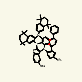 Cc1cc2c3c(c1)N(c1ccc(C(C)(C)C)cc1-c1ccc(-c4ccccc4)cc1)c1c(sc4ccc(C(C)(C)C)cc14)B3c1cc3c(cc1N2c1ccc2c(c1)C(C)(C)CCC2(C)C)C(C)(C)CCC3(C)C